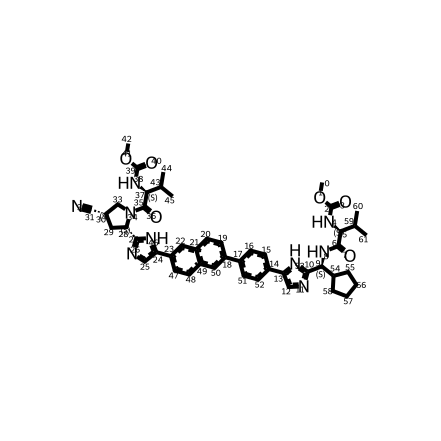 COC(=O)N[C@H](C(=O)N[C@H](c1ncc(-c2ccc(-c3ccc4cc(-c5cnc([C@@H]6C[C@H](C#N)CN6C(=O)[C@@H](NC(=O)OC)C(C)C)[nH]5)ccc4c3)cc2)[nH]1)C1CCCC1)C(C)C